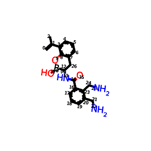 C=C(C)c1cccc2c1OB(O)[C@@H](NC(=O)c1cccc(CN)c1CN)C2